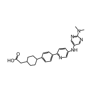 CN(C)c1ncc(Nc2ccc(-c3ccc(C4CCC(CC(=O)O)CC4)cc3)nc2)cn1